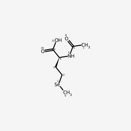 C[Se]CC[C@H](NC(C)=O)C(=O)O